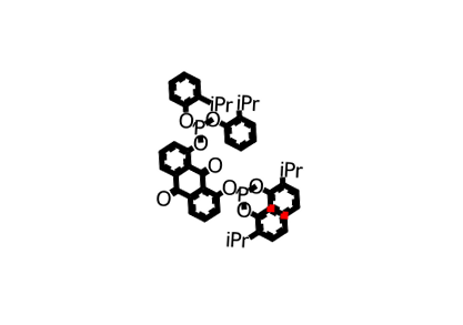 CC(C)c1ccccc1OP(Oc1ccccc1C(C)C)Oc1cccc2c1C(=O)c1c(OP(Oc3ccccc3C(C)C)Oc3ccccc3C(C)C)cccc1C2=O